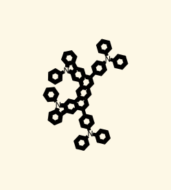 c1ccc(N(c2ccccc2)c2ccc(-c3cc4cc5cc(-c6ccc(N(c7ccccc7)c7ccccc7)cc6)c6cc7c8ccccc8n(-c8ccccc8)c7cc6c5cc4c4cc5c(cc34)c3ccccc3n5-c3ccccc3)cc2)cc1